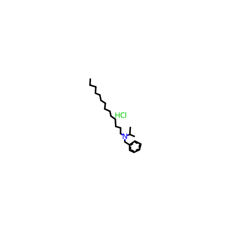 CCCCCCCCCCCCCCN(Cc1ccccc1)C(C)C.Cl